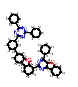 c1ccc(-c2nc(-c3ccccc3)nc(-c3cccc(-c4ccc5c(c4)oc4c(-c6nc(-c7ccccc7)c7oc8ccccc8c7n6)cccc45)c3)n2)cc1